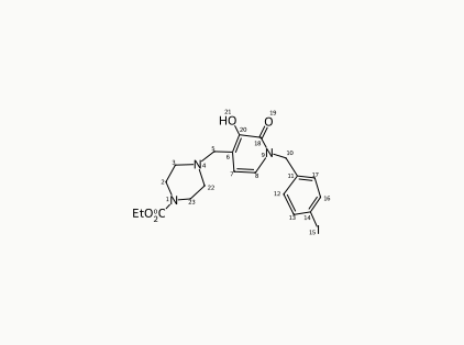 CCOC(=O)N1CCN(Cc2ccn(Cc3ccc(I)cc3)c(=O)c2O)CC1